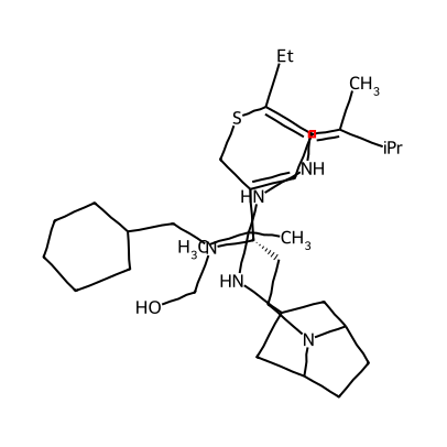 CCC1=CC=C([C@H](CCN2C3CCC2CC(NC(C)(C)NN/C=C(/C)C(C)C)C3)N(CO)CC2CCCCC2)CS1